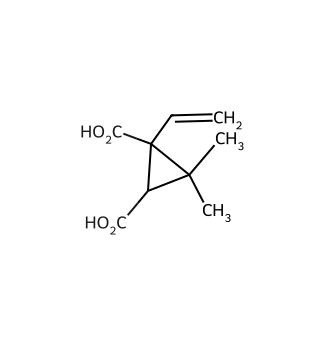 C=CC1(C(=O)O)C(C(=O)O)C1(C)C